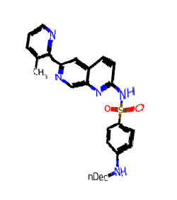 CCCCCCCCCCNc1ccc(S(=O)(=O)Nc2ccc3cc(-c4ncccc4C)ncc3n2)cc1